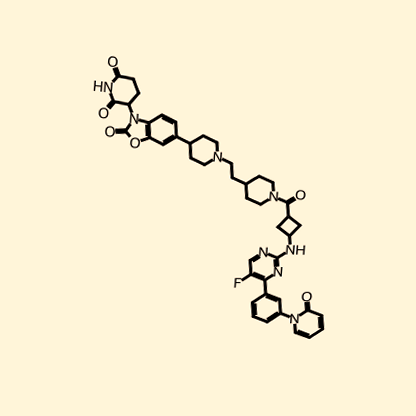 O=C1CCC(n2c(=O)oc3cc(C4CCN(CCC5CCN(C(=O)C6CC(Nc7ncc(F)c(-c8cccc(-n9ccccc9=O)c8)n7)C6)CC5)CC4)ccc32)C(=O)N1